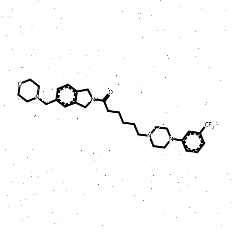 O=C(CCCCCN1CCN(c2cccc(C(F)(F)F)c2)CC1)N1Cc2ccc(CN3CCOCC3)cc2C1